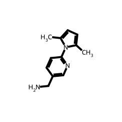 Cc1ccc(C)n1-c1ccc(CN)cn1